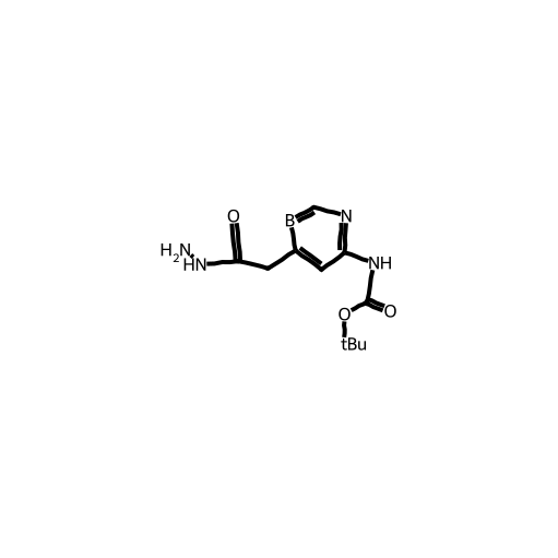 CC(C)(C)OC(=O)Nc1cc(CC(=O)NN)bcn1